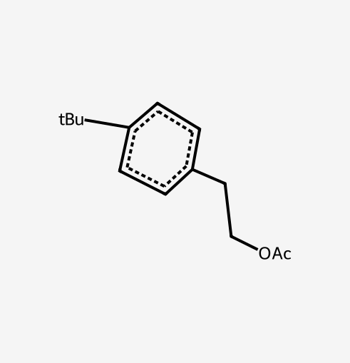 CC(=O)OCCc1ccc(C(C)(C)C)cc1